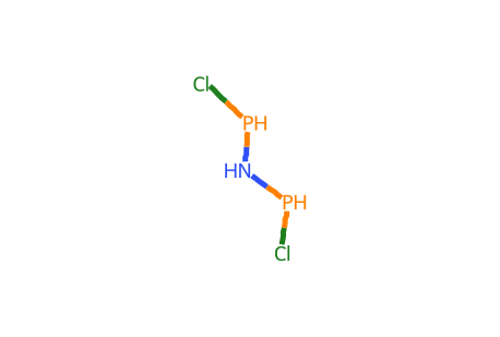 ClPNPCl